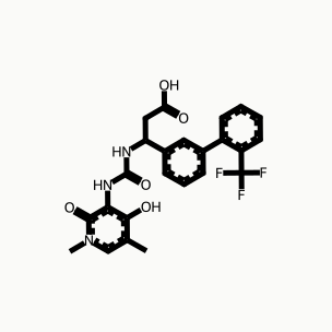 Cc1cn(C)c(=O)c(NC(=O)NC(CC(=O)O)c2cccc(-c3ccccc3C(F)(F)F)c2)c1O